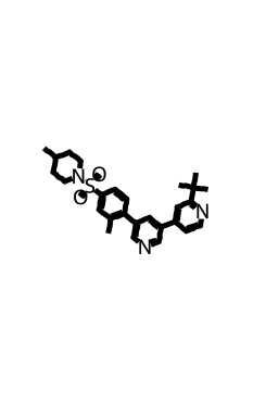 Cc1cc(S(=O)(=O)N2CCC(C)CC2)ccc1-c1cncc(-c2ccnc(C(C)(C)C)c2)c1